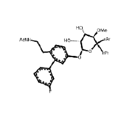 CCCC1(CCC)O[C@@H](Oc2ccc(CCNC(C)=O)c(-c3cccc(F)c3)c2)[C@H](O)[C@H](O)[C@H]1OC